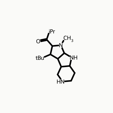 CC(C)C(=O)C1C(C(C)(C)C)C2C3CNCCC3NC2N1C